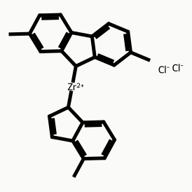 Cc1ccc2c(c1)[CH]([Zr+2][CH]1C=Cc3c(C)cccc31)c1cc(C)ccc1-2.[Cl-].[Cl-]